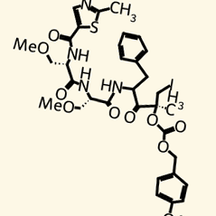 COC[C@H](NC(=O)c1cnc(C)s1)C(=O)N[C@@H](COC)C(=O)NC(Cc1ccccc1)C(=O)[C@@](C)(CI)OC(=O)OCc1ccc(OC(C)=O)cc1